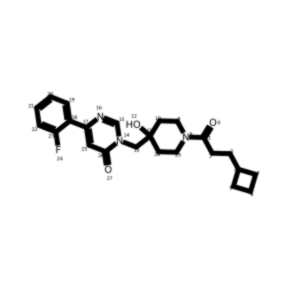 O=C(CCC1CCC1)N1CCC(O)(Cn2cnc(-c3ccccc3F)cc2=O)CC1